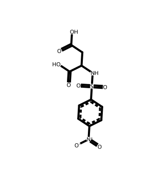 O=C(O)CC(NS(=O)(=O)c1ccc([N+](=O)[O-])cc1)C(=O)O